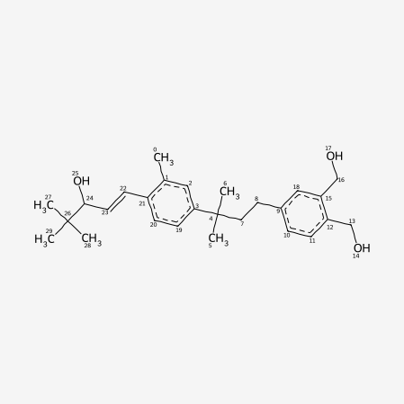 Cc1cc(C(C)(C)CCc2ccc(CO)c(CO)c2)ccc1C=CC(O)C(C)(C)C